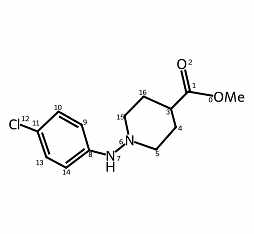 COC(=O)C1CCN(Nc2ccc(Cl)cc2)CC1